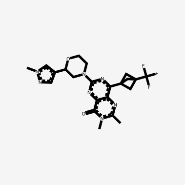 Cc1nc2c(C34CC(C(F)(F)F)(C3)C4)nc(N3CCOC(c4cnn(C)c4)C3)nc2c(=O)n1C